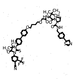 CC(C)(C)C(NC(=O)COCCCCOc1ccc(-c2ccc(N3C(=S)N(c4ccc(C#N)c(C(F)(F)F)c4)C(=O)C3(C)C)cc2)cc1)C(=O)N1CCC[C@H]1C(=O)NCc1ccc(-c2cncs2)cc1